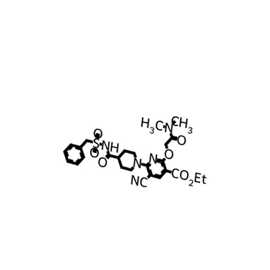 CCOC(=O)c1cc(C#N)c(N2CCC(C(=O)NS(=O)(=O)Cc3ccccc3)CC2)nc1OCC(=O)N(C)C